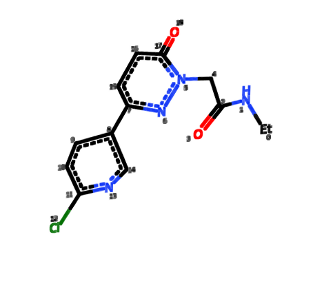 CCNC(=O)Cn1nc(-c2ccc(Cl)nc2)ccc1=O